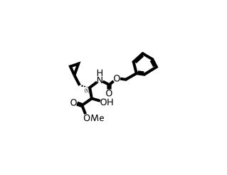 COC(=O)C(O)[C@H](CC1CC1)NC(=O)OCc1ccccc1